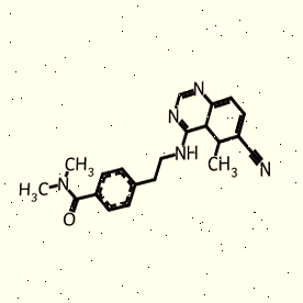 CC1C(C#N)=CC=C2N=CN=C(NCCc3ccc(C(=O)N(C)C)cc3)C21